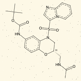 CC(=O)NC[C@H]1CN(S(=O)(=O)c2cnc3ccccn23)c2cc(NC(=O)OC(C)(C)C)ccc2O1